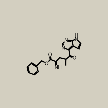 CC(CC(=N)C(=O)OCc1ccccc1)C(=O)c1ncnc2[nH]ccc12